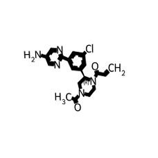 C=CC(=O)N1CCN(C(C)=O)C[C@H]1c1cc(Cl)cc(-c2ncc(N)cn2)c1